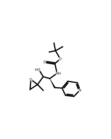 CC(C)(C)OC(=O)N[C@@H](Cc1ccncc1)C(O)C1(C)CO1